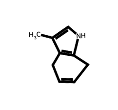 Cc1c[nH]c2c1CC=CC2